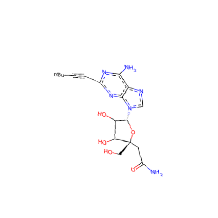 CCCCC#Cc1nc(N)c2ncn([C@@H]3O[C@](CO)(CC(N)=O)C(O)C3O)c2n1